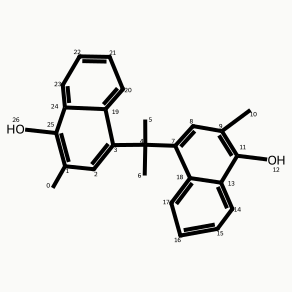 Cc1cc(C(C)(C)c2cc(C)c(O)c3ccccc23)c2ccccc2c1O